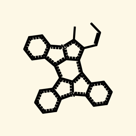 C/C=C\c1c(C)n2c3ccccc3c3c4c5ccccc5n5c6ccccc6c(c1c32)c45